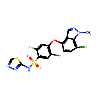 Cn1ncc2c(Oc3cc(F)c(S(=O)(=O)Nc4nncs4)cc3Cl)ccc(Cl)c21